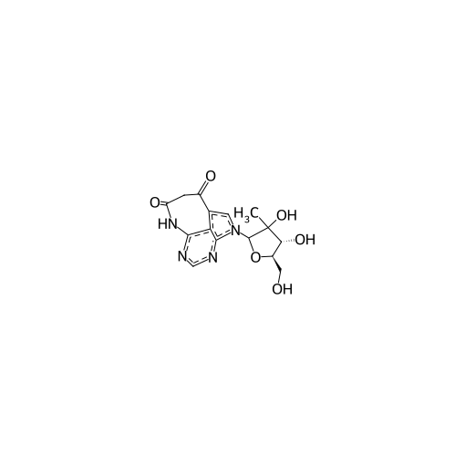 CC1(O)C(n2cc3c4c(ncnc42)NC(=O)CC3=O)O[C@H](CO)[C@H]1O